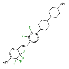 CCCC1=CC=C(/C=C/c2ccc(C3CCC(C4CCC(CCC)CC4)CC3)c(F)c2F)C(F)(F)C1(F)F